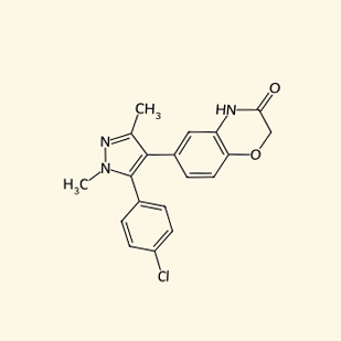 Cc1nn(C)c(-c2ccc(Cl)cc2)c1-c1ccc2c(c1)NC(=O)CO2